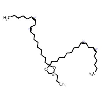 CCCCC/C=C\C/C=C\CCCCCCCCC1(CCCCCCCC/C=C\C/C=C\CCCCC)OC[C@H](CCC)O1